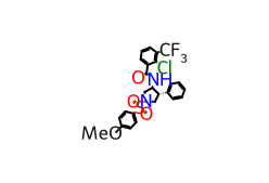 COc1ccc(S(=O)(=O)N2C[C@@H](NC(=O)c3cccc(C(F)(F)F)c3Cl)[C@H](c3ccccc3)C2)cc1